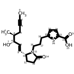 CC#CC[C@H](C)[C@@H](O)C=C[C@H]1CCC(=O)N1CCCc1ccc(C(=O)O)s1